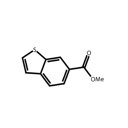 COC(=O)c1ccc2ccsc2c1